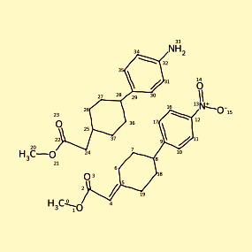 COC(=O)C=C1CCC(c2ccc([N+](=O)[O-])cc2)CC1.COC(=O)CC1CCC(c2ccc(N)cc2)CC1